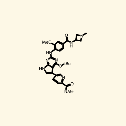 CNC(=O)c1ccc(-c2c[nH]c3nc(Nc4ccc(C(=O)NC5CN(C)C5)cc4OC)nc(OC(C)(C)C)c23)cn1